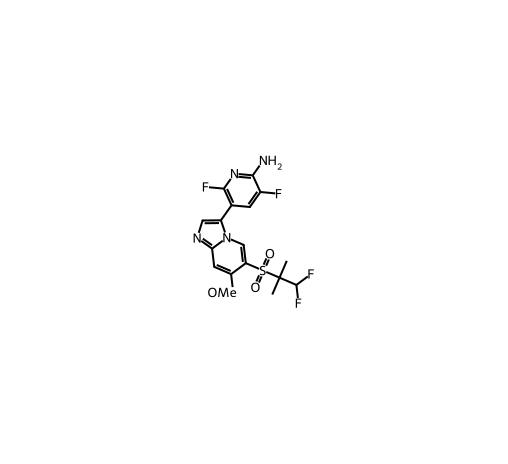 COc1cc2ncc(-c3cc(F)c(N)nc3F)n2cc1S(=O)(=O)C(C)(C)C(F)F